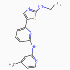 CCNc1ncc(-c2cccc(Nc3cc(C)ccn3)n2)s1